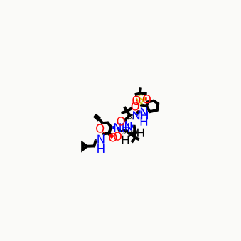 C#CCCC(NC(=O)[C@@H]1[C@@H]2[C@H](CN1C(=O)[C@@H](NC(=O)NC1(CS(=O)(=O)C(C)(C)C)CCCCC1)C(C)(C)C)C2(C)C)C(=O)C(=O)NCCC1CC1